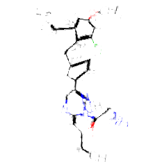 C\C=C(/C=N\C(=C\CCC)NC(=O)CN)C1=CC=C(Cc2c(Cl)cc(OC)cc2CC)C1